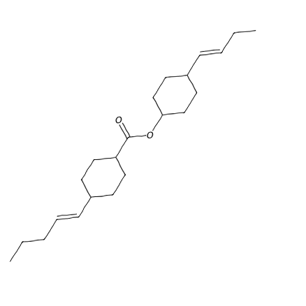 CCC=CC1CCC(OC(=O)C2CCC(C=CCCC)CC2)CC1